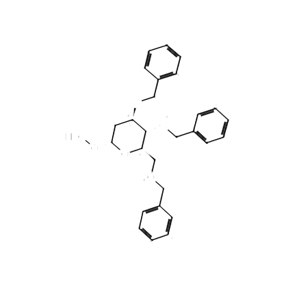 CO[C@@H]1C[C@@H](OCc2ccccc2)[C@H](OCc2ccccc2)[C@@H](COCc2ccccc2)O1